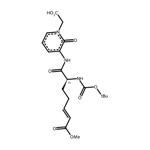 COC(=O)C=CCC[C@H](NC(=O)OC(C)(C)C)C(=O)Nc1cccn(CC(=O)O)c1=O